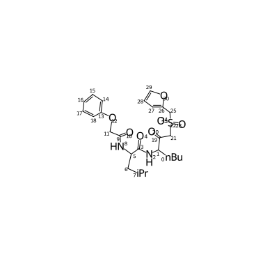 CCCCC(NC(=O)C(CC(C)C)NC(=O)COc1ccccc1)C(=O)CS(=O)(=O)Cc1ccco1